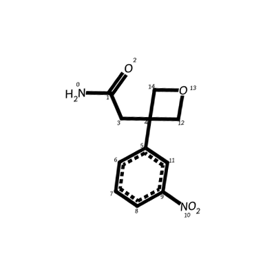 NC(=O)CC1(c2cccc([N+](=O)[O-])c2)COC1